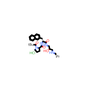 CC(C)CNCC(O)CNC(=O)[C@@H](Cc1ccc2ccccc2c1)NC(=O)C1CCCN1C(=O)C(C)(C)C.Cl